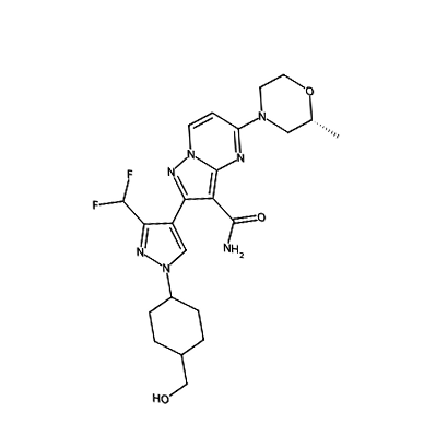 C[C@@H]1CN(c2ccn3nc(-c4cn(C5CCC(CO)CC5)nc4C(F)F)c(C(N)=O)c3n2)CCO1